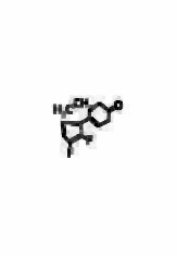 C=C.O=C1CC=C(c2cccc(F)c2F)CC1